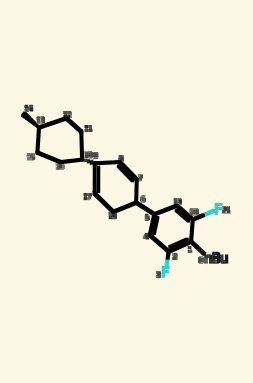 CCCCc1c(F)cc(C2C=CC([C@H]3CC[C@H](C)CC3)=CC2)cc1F